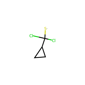 [S]C(Cl)(Cl)C1CC1